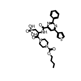 CCCCOC(=O)N1CCN(C(=O)C(CP(=O)(O)O)NC(=O)c2cc(-c3ccsc3)nc(-c3ccccc3)n2)CC1